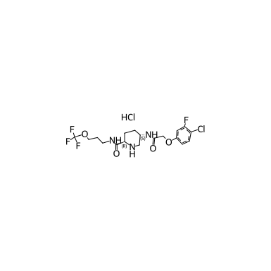 Cl.O=C(COc1ccc(Cl)c(F)c1)N[C@H]1CC[C@H](C(=O)NCCCOC(F)(F)F)NC1